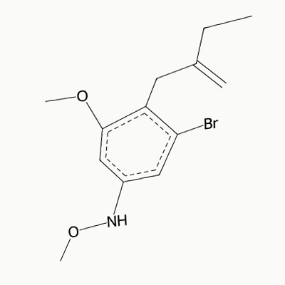 C=C(CC)Cc1c(Br)cc(NOC)cc1OC